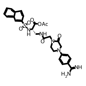 CC(=O)OC(=O)[C@H](CNC(=O)CN1CCN(c2ccc(C(=N)N)cc2)CC1=O)NS(=O)(=O)c1ccc2ccccc2c1